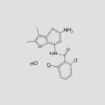 Cc1oc2c(NC(=O)c3c(Cl)cccc3Cl)cc(N)cc2c1C.Cl